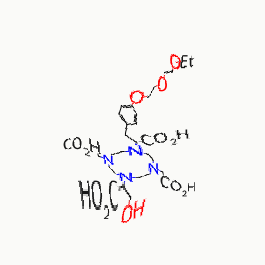 CCOCCOCCOc1ccc(CC(C(=O)O)N2CCN(CC(=O)O)CCN(C(CO)C(=O)O)CCN(CC(=O)O)CC2)cc1